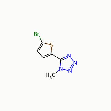 Cn1nnnc1-c1ccc(Br)s1